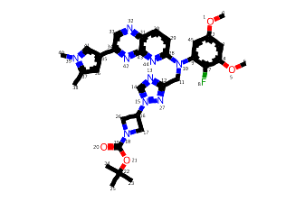 COc1cc(OC)c(F)c(N(Cc2ncn(C3CN(C(=O)OC(C)(C)C)C3)n2)c2ccc3ncc(-c4cc(C)n(C)c4)nc3n2)c1